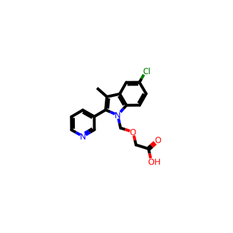 Cc1c(-c2cccnc2)n(COCC(=O)O)c2ccc(Cl)cc12